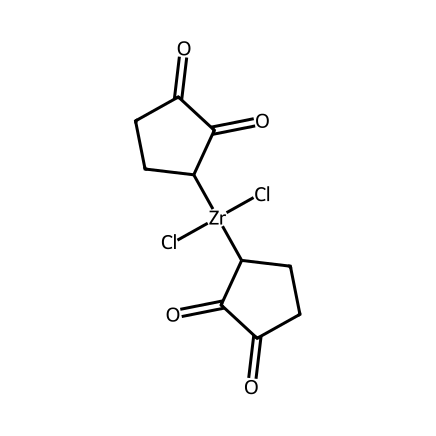 O=C1CC[CH]([Zr]([Cl])([Cl])[CH]2CCC(=O)C2=O)C1=O